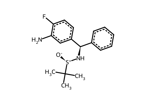 CC(C)(C)[S@@+]([O-])N[C@H](c1ccccc1)c1ccc(F)c(N)c1